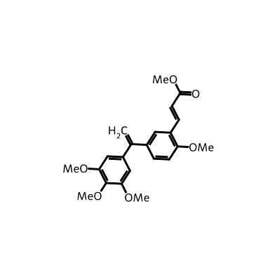 C=C(c1ccc(OC)c(/C=C/C(=O)OC)c1)c1cc(OC)c(OC)c(OC)c1